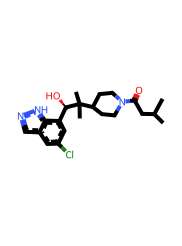 CC(C)CC(=O)N1CCC(C(C)(C)[C@H](O)c2cc(Cl)cc3cn[nH]c23)CC1